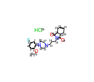 CC(C)Oc1ccc(F)cc1N1CCN(CCCN2C(=O)C3CC=CCC3C2=O)CC1.Cl